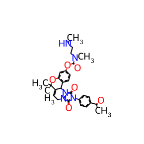 CNCCN(C)C(=O)Oc1ccc2c(c1)OC(C)(C)C1=CCn3c(=O)n(-c4ccc(C(C)=O)cc4)c(=O)n3C12